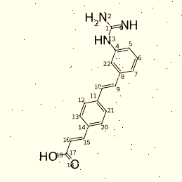 N=C(N)Nc1cccc(/C=C/c2ccc(/C=C/C(=O)O)cc2)c1